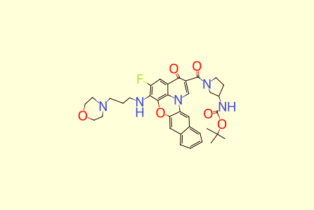 CC(C)(C)OC(=O)NC1CCN(C(=O)c2cn3c4c(c(NCCCN5CCOCC5)c(F)cc4c2=O)Oc2cc4ccccc4cc2-3)C1